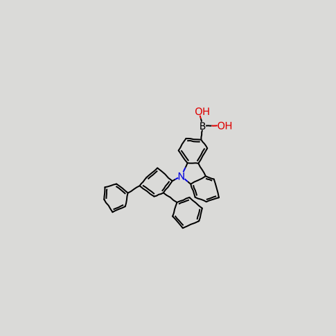 OB(O)c1ccc2c(c1)c1ccccc1n2-c1ccc(-c2ccccc2)cc1-c1ccccc1